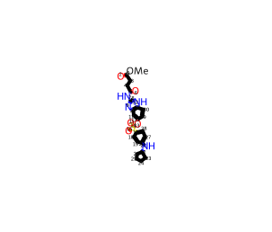 COC(=O)CCC(=O)Nc1nc2cc(OS(=O)(=O)c3ccc(NC4CCCC4)cc3)ccc2[nH]1